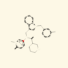 Cn1ccc([C@H]2CCNCC2C(=O)N(Cc2cn(Cc3cccc(F)c3)c3ccccc23)C2CC2)cc1=O